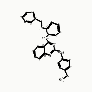 N#CCc1ccc(Nc2nc(Nc3ccccc3OCc3ccccc3)c3ccccc3n2)cc1